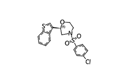 O=S(=O)(c1ccc(Cl)cc1)N1CCO[C@H](c2csc3ccccc23)C1